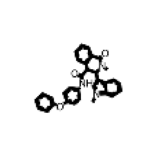 CN1C(=O)c2ccccc2C(C(=O)Nc2ccc(Oc3ccccc3)cc2)C1c1cn(C)c2ccccc12